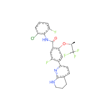 C[C@H](Oc1cc(-c2ccc3c(n2)NCCC3)c(F)cc1C(=O)Nc1c(F)cccc1Cl)C(F)(F)F